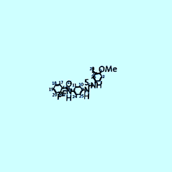 COc1ccc(NC(=S)Nc2ccc(NC(=O)C3C=CC=CC3(F)F)cc2)cc1I